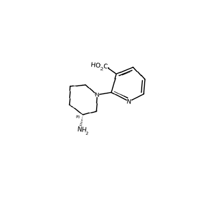 N[C@@H]1CCCN(c2ncccc2C(=O)O)C1